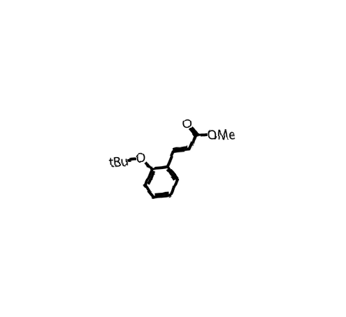 COC(=O)/C=C/c1ccccc1OC(C)(C)C